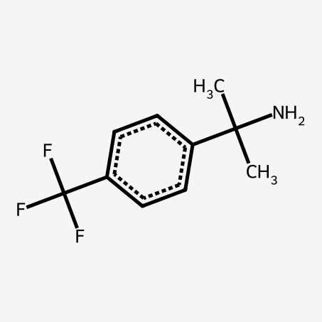 CC(C)(N)c1ccc(C(F)(F)F)cc1